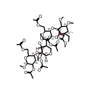 CCC1(C(=O)OC)O[C@@H](O[C@@H]2C(COC(C)=O)O[C@@H](O[C@H]3C(OC)[C@H]4OCC3(C(=O)OC)O[C@H]4O[C@@H]3C(COC(C)=O)O[C@H](OC)C(OC(C)=O)[C@H]3OC(C)=O)C(OC(C)=O)[C@H]2OC(C)=O)C(OC)[C@@H](OC)[C@@H]1C